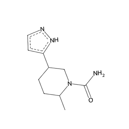 CC1CCC(c2ccn[nH]2)CN1C(N)=O